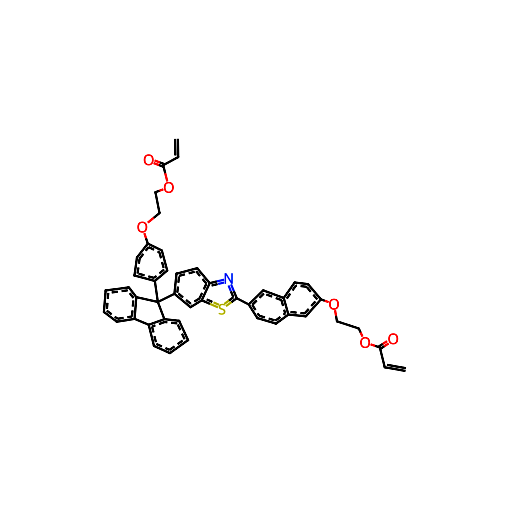 C=CC(=O)OCCOc1ccc(C2(c3ccc4nc(-c5ccc6cc(OCCOC(=O)C=C)ccc6c5)sc4c3)c3ccccc3-c3ccccc32)cc1